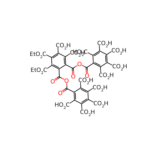 CCOC(=O)c1c(C(=O)O)c(C(=O)O)c(C(=O)OC(=O)c2c(C(=O)O)c(C(=O)O)c(C(=O)O)c(C(=O)O)c2C(=O)O)c(C(=O)OC(=O)c2c(C(=O)O)c(C(=O)O)c(C(=O)O)c(C(=O)O)c2C(=O)O)c1C(=O)OCC